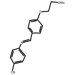 COCCOc1ccc(C=Nc2ccc(C#N)cc2)cc1